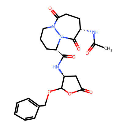 CC(=O)N[C@H]1CCC(=O)N2CCC[C@@H](C(=O)N[C@H]3CC(=O)OC3OCc3ccccc3)N2C1=O